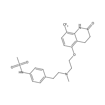 CN(CCOc1ccc(C(F)(F)F)c2c1CCC(=O)N2)CCc1ccc(NS(C)(=O)=O)cc1